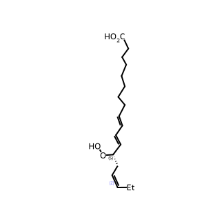 CC/C=C\C[C@@H](C=CC=CCCCCCCCC(=O)O)OO